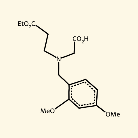 CCOC(=O)CCN(CC(=O)O)Cc1ccc(OC)cc1OC